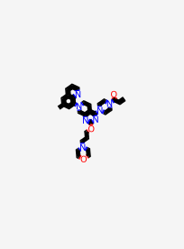 C=CC(=O)N1CCN(c2nc(OCCCN3CCOCC3)nc3c2CCN(c2cc(C)cc4cccnc24)C3)CC1